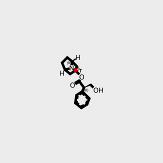 CC(C)N1[C@@H]2CC[C@H]1CC(OC(=O)[C@@H](CO)c1ccccc1)C2